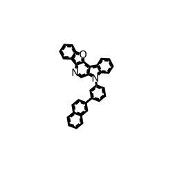 c1cc(-c2ccc3ccccc3c2)cc(-n2c3ccccc3c3c4oc5ccccc5c4ncc32)c1